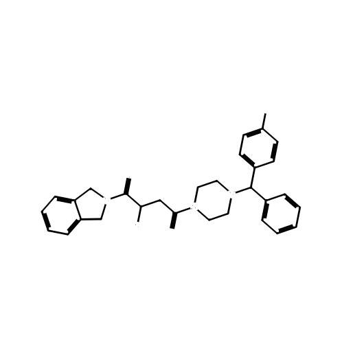 NC(CC(=O)N1CCN(C(c2ccccc2)c2ccc(Cl)cc2)CC1)C(=O)N1Cc2ccccc2C1